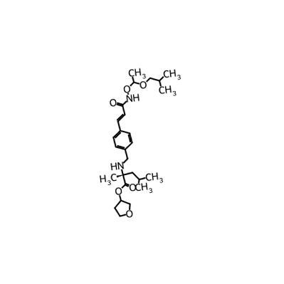 CC(C)COC(C)ONC(=O)/C=C/c1ccc(CN[C@](C)(CC(C)C)C(=O)OC2CCOC2)cc1